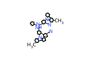 Cc1ccc2c(c1)c1ccccc1n2-c1ccc(-c2nc(-c3ccccc3)nc(-c3ccc(-n4c5ccccc5c5cc(C)ccc54)c(-c4cccc(C#N)c4)c3)n2)cc1C#N